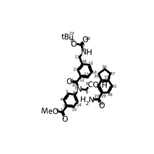 COC(=O)c1ccc(N(CC(=O)O)C(=O)c2cccc(CNC(=O)OC(C)(C)C)c2)cc1.NC(=O)c1ccc2c(c1)CCC2